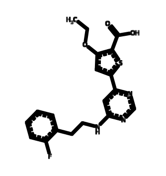 CCOc1cc(-c2cc(NCCc3ccccc3F)ncn2)sc1C(=O)O